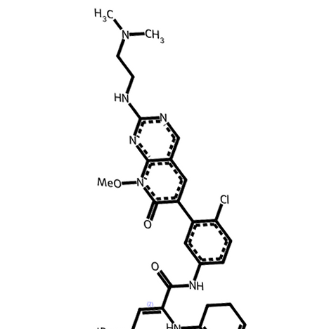 COn1c(=O)c(-c2cc(NC(=O)/C(=C/C(=N)C(C)(C)C)NC3=CC=CCC3)ccc2Cl)cc2cnc(NCCN(C)C)nc21